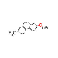 CCCOc1ccc2c(ccc3cc(C(F)(F)F)ccc32)c1